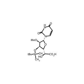 CO[C@@H]1[C@H](O[Si](C)(C)C(C)(C)C)[C@@H](C(O)C(=O)O)O[C@H]1n1ccc(=O)[nH]c1=O